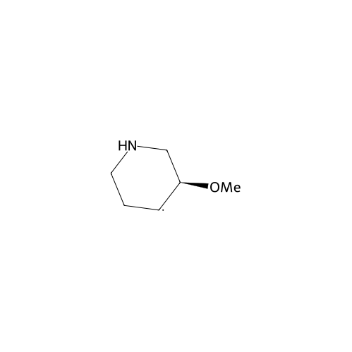 CO[C@H]1[CH]CCNC1